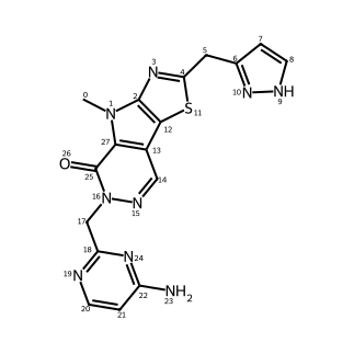 Cn1c2nc(Cc3cc[nH]n3)sc2c2cnn(Cc3nccc(N)n3)c(=O)c21